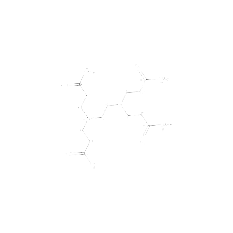 CCC(=O)CCN(CCC(=O)OC)CCN(CCC(=O)OC)CCC(=O)OC